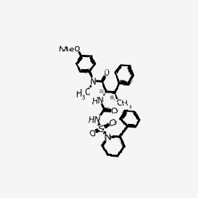 COc1ccc(N(C)C(=O)[C@@H](NC(=O)NS(=O)(=O)N2CCCCC2c2ccccc2)[C@H](C)c2ccccc2)cc1